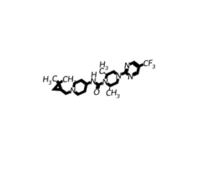 C[C@@H]1CN(c2ncc(C(F)(F)F)cn2)C[C@H](C)N1C(=O)NC1CCN(CC2CC2(C)C)CC1